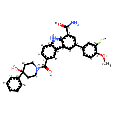 COc1ccc(-c2cc(C(N)=O)c3[nH]c4ccc(C(=O)N5CCC(O)(c6ccccc6)CC5)cc4c3c2)cc1F